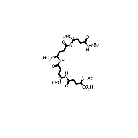 CCCCNC(=O)CC[C@@H](C=O)NC(=O)CCC(NC(=O)CC[C@@H](C=O)NC(=O)CCC(NC(C)=O)C(=O)O)C(=O)O